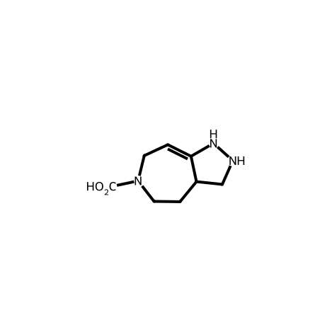 O=C(O)N1CC=C2NNCC2CC1